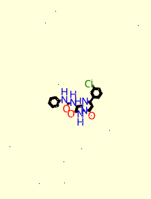 O=C(Nc1ccccc1)Nc1c(=O)[nH]n2c(=O)cc(-c3cccc(Cl)c3)[nH]c12